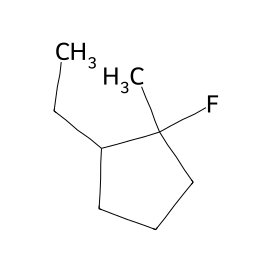 CCC1CCCC1(C)F